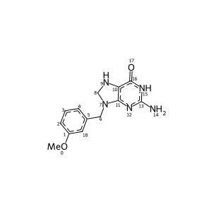 COc1cccc(CN2CNc3c2nc(N)[nH]c3=O)c1